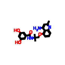 Cc1cc(N)c2c(OCC(C)(C)NC(=O)c3cc(O)cc(O)c3)cccc2n1